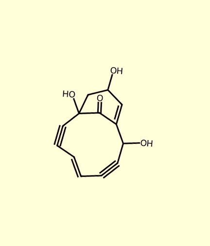 O=C1C2=CC(O)CC1(O)C#C/C=C/C#CC2O